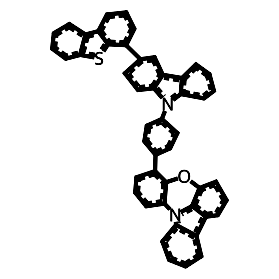 c1cc(-c2ccc(-n3c4ccccc4c4cc(-c5cccc6c5sc5ccccc56)ccc43)cc2)c2c(c1)-n1c3ccccc3c3cccc(c31)O2